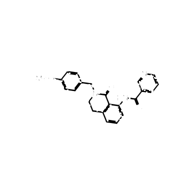 COc1ccc(CN2CCc3cccc(NC(=O)c4cccnc4)c3C2=O)cc1